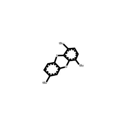 CC(C)(C)c1ccc2c(c1)Oc1c(C(C)(C)C)ccc(C(C)(C)C)c1S2